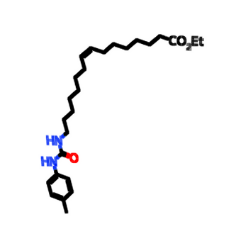 CCOC(=O)CCCCCC/C=C\CCCCCCCNC(=O)Nc1ccc(C)cc1